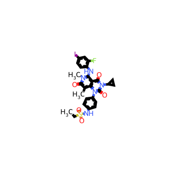 CCS(=O)(=O)Nc1ccc(-n2c(=O)n(C3CC3)c(=O)c3c(Nc4ccc(I)cc4F)n(C)c(=O)c(C)c32)cc1